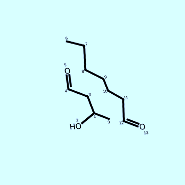 CC(O)CC=O.CCCCCCC=O